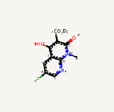 CCOC(=O)c1c(O)c2cc(F)cnc2n(C)c1=O